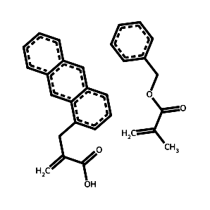 C=C(C)C(=O)OCc1ccccc1.C=C(Cc1cccc2cc3ccccc3cc12)C(=O)O